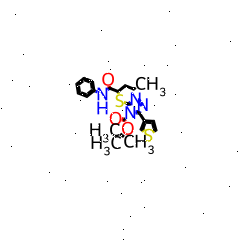 CCCC(Sc1nnc(-c2ccsc2)n1C(=O)OC(C)(C)C)C(=O)Nc1ccccc1